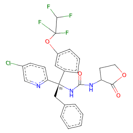 O=C(NC1CCOC1=O)N[C@@](Cc1ccccc1)(c1cccc(OC(F)(F)C(F)F)c1)c1ccc(Cl)cn1